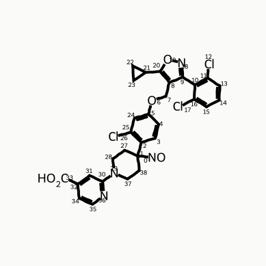 O=NC1(c2ccc(OCc3c(-c4c(Cl)cccc4Cl)noc3C3CC3)cc2Cl)CCN(c2cc(C(=O)O)ccn2)CC1